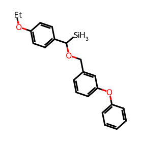 CCOc1ccc(C([SiH3])OCc2cccc(Oc3ccccc3)c2)cc1